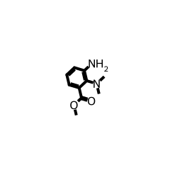 COC(=O)c1cccc(N)c1N(C)C